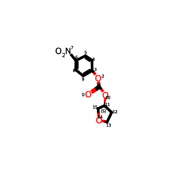 O=C(Oc1ccc([N+](=O)[O-])cc1)O[C@H]1CCOC1